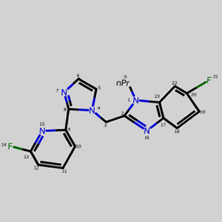 CCCn1c(Cn2ccnc2-c2cccc(F)n2)nc2ccc(F)cc21